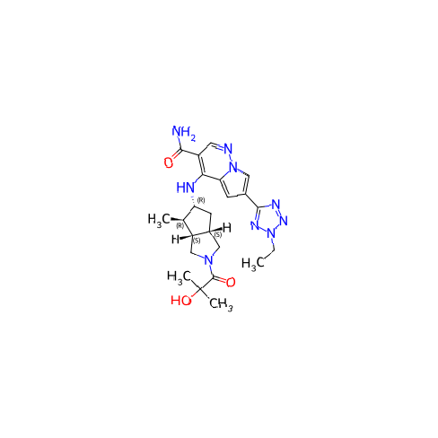 CCn1nnc(-c2cc3c(N[C@@H]4C[C@@H]5CN(C(=O)C(C)(C)O)C[C@@H]5[C@H]4C)c(C(N)=O)cnn3c2)n1